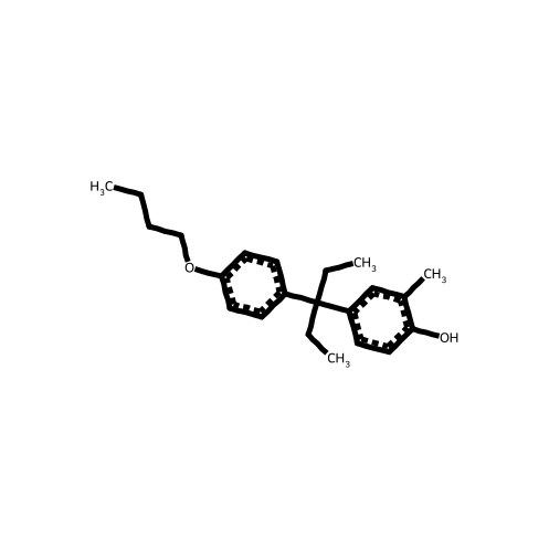 CCCCOc1ccc(C(CC)(CC)c2ccc(O)c(C)c2)cc1